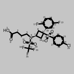 O=C(O)CCCN([C@H]1C[C@@](c2cc(F)ccc2F)(S(=O)(=O)c2ccc(Cl)cc2)C1)S(=O)(=O)C(F)(F)F